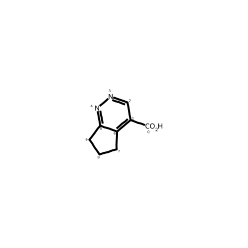 O=C(O)c1cnnc2c1CCC2